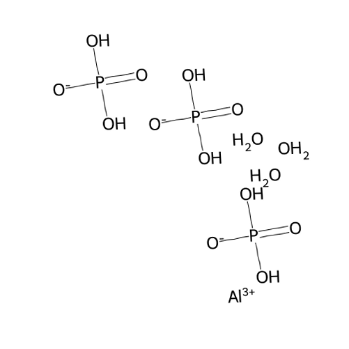 O.O.O.O=P([O-])(O)O.O=P([O-])(O)O.O=P([O-])(O)O.[Al+3]